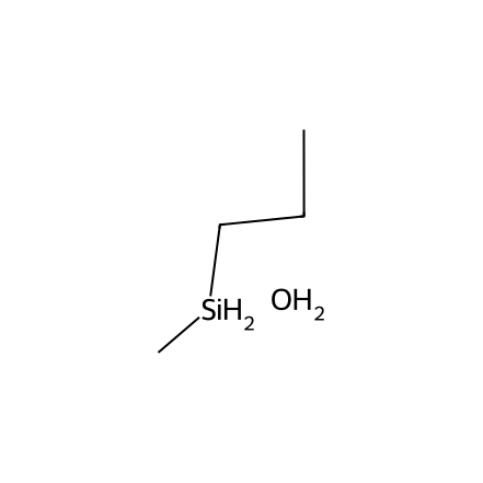 CCC[SiH2]C.O